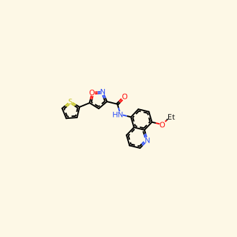 CCOc1ccc(NC(=O)c2cc(-c3cccs3)on2)c2cccnc12